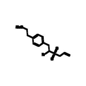 C=CCS(=O)(=O)C(Br)Cc1ccc(CCOC)cc1